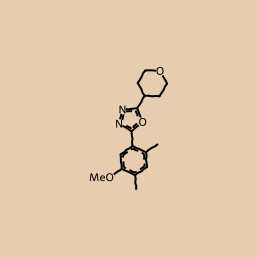 COc1cc(-c2nnc(C3CCOCC3)o2)c(C)cc1C